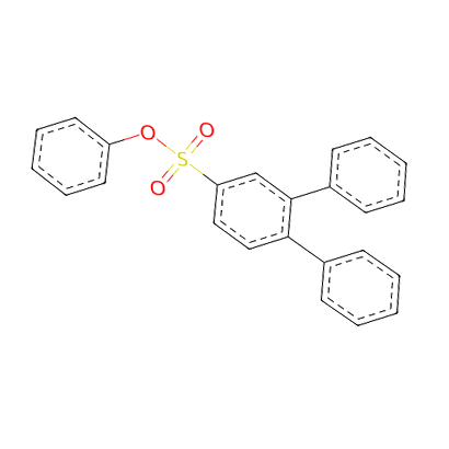 O=S(=O)(Oc1ccccc1)c1ccc(-c2ccccc2)c(-c2ccccc2)c1